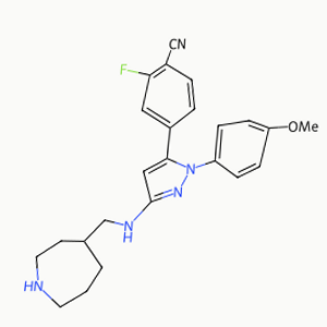 COc1ccc(-n2nc(NCC3CCCNCC3)cc2-c2ccc(C#N)c(F)c2)cc1